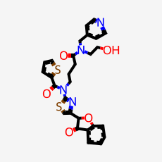 O=C1c2ccccc2OC1c1csc(N(CCCC(=O)N(CCO)Cc2ccncc2)C(=O)c2cccs2)n1